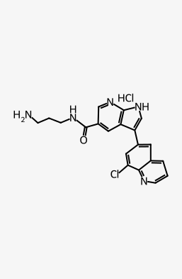 Cl.NCCCNC(=O)c1cnc2[nH]cc(-c3cc(Cl)c4ncccc4c3)c2c1